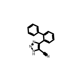 N#Cc1[nH]nnc1-c1ccccc1-c1ccccc1